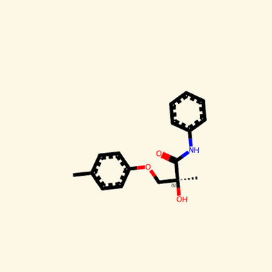 Cc1ccc(OC[C@](C)(O)C(=O)Nc2ccccc2)cc1